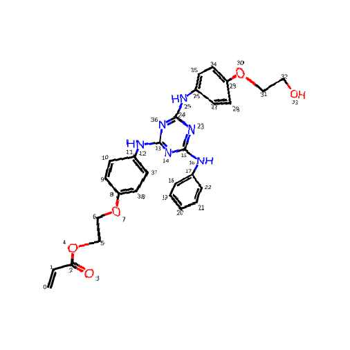 C=CC(=O)OCCOc1ccc(Nc2nc(Nc3ccccc3)nc(Nc3ccc(OCCO)cc3)n2)cc1